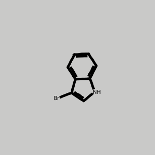 Brc1c[nH]c2cc[c]cc12